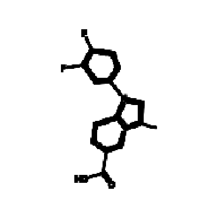 Cc1cn(-c2ccc(F)c(F)c2)c2ccc(C(=O)O)cc12